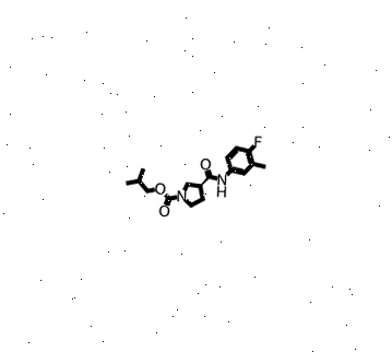 Cc1cc(NC(=O)[C@H]2CCN(C(=O)OCC(C)C)C2)ccc1F